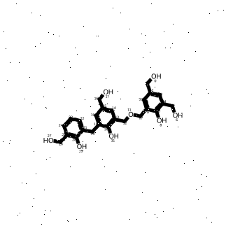 OCc1cc(CO)c(O)c(COCc2cc(CO)cc(Cc3cccc(CO)c3O)c2O)c1